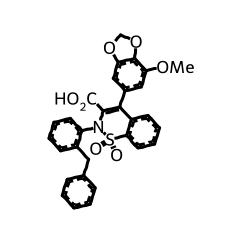 COc1cc(C2=C(C(=O)O)N(c3ccccc3Cc3ccccc3)S(=O)(=O)c3ccccc32)cc2c1OCO2